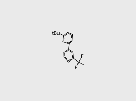 CC(C)(C)c1cccc(-c2cccc(C(C)(F)F)c2)c1